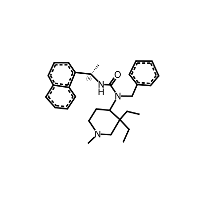 CCC1(CC)CN(C)CCC1N(Cc1ccccc1)C(=O)N[C@@H](C)c1cccc2ccccc12